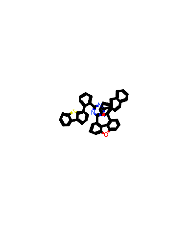 c1ccc(-c2cccc3oc4cccc(-c5nc(-c6ccc7ccccc7c6)nc(-c6ccccc6-c6cccc7c6sc6ccccc67)n5)c4c23)cc1